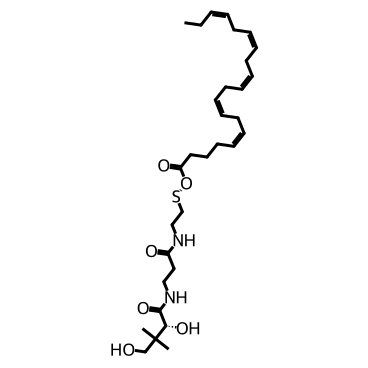 CC/C=C\C/C=C\C/C=C\C/C=C\C/C=C\CCCC(=O)OSCCNC(=O)CCNC(=O)[C@H](O)C(C)(C)CO